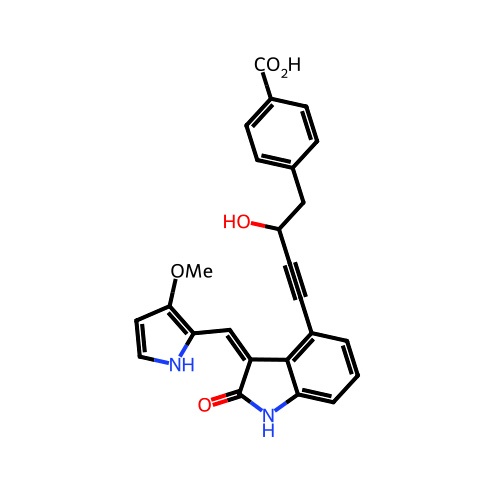 COc1cc[nH]c1C=C1C(=O)Nc2cccc(C#CC(O)Cc3ccc(C(=O)O)cc3)c21